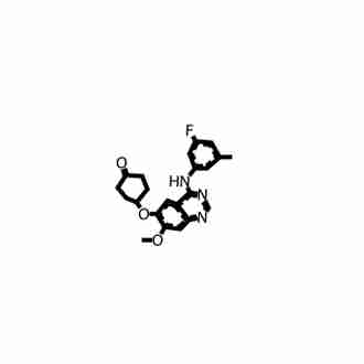 COc1cc2ncnc(Nc3cc(C)cc(F)c3)c2cc1OC1CCC(=O)CC1